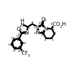 O=C(O)C1CCCc2nn(CC3N=C(c4cccc(C(F)(F)F)c4)ON3)c(=O)n21